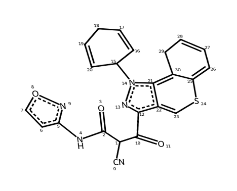 N#CC(C(=O)Nc1ccon1)C(=O)c1nn(C2C=CCC=C2)c2c1=CSC1=CC=CCC=21